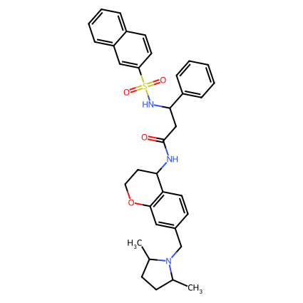 CC1CCC(C)N1Cc1ccc2c(c1)OCCC2NC(=O)CC(NS(=O)(=O)c1ccc2ccccc2c1)c1ccccc1